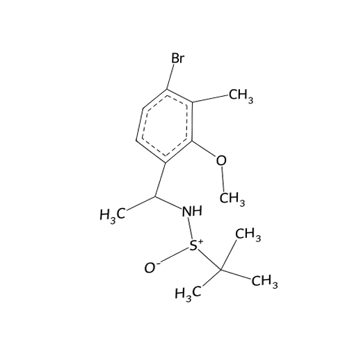 COc1c(C(C)N[S+]([O-])C(C)(C)C)ccc(Br)c1C